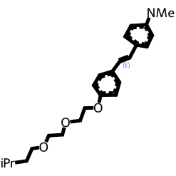 CNc1ccc(/C=C/c2ccc(OCCOCCOCCC(C)C)cc2)cc1